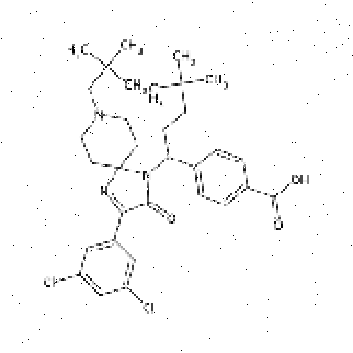 CC(C)(C)CCC(c1ccc(C(=O)O)cc1)N1C(=O)C(c2cc(Cl)cc(Cl)c2)=NC12CCN(CC(C)(C)C)CC2